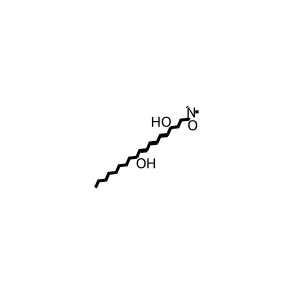 CCCCCCCCC(O)C=CC=CC=CC(O)CCC(=O)N(C)C